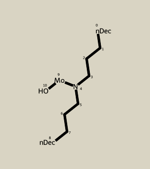 CCCCCCCCCCCCC[N](CCCCCCCCCCCCC)[Mo][OH]